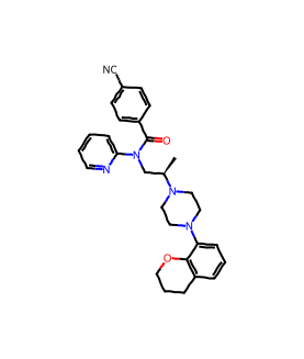 C[C@H](CN(C(=O)c1ccc(C#N)cc1)c1ccccn1)N1CCN(c2cccc3c2OCCC3)CC1